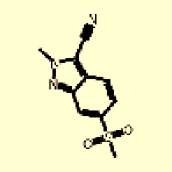 Cn1nc2cc(S(C)(=O)=O)ccc2c1C#N